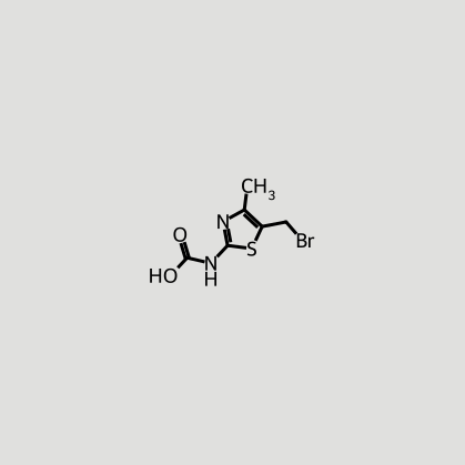 Cc1nc(NC(=O)O)sc1CBr